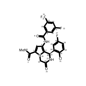 CNC(=O)c1cc(NC(=O)c2cc(F)cc(C(F)(F)F)c2)c2n1CC(=O)N[C@@H]2c1cc(F)ccc1Cl